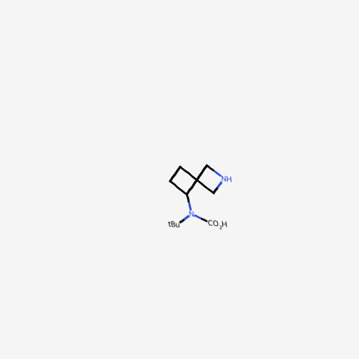 CC(C)(C)N(C(=O)O)C1CCC12CNC2